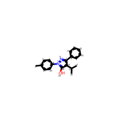 Cc1ccc(-n2nc(-c3ccccc3)c(C(C)C)c2O)cc1